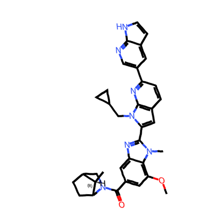 COc1cc(C(=O)N2CC3CCC2[C@@H]3C)cc2nc(-c3cc4ccc(-c5cnc6[nH]ccc6c5)nc4n3CC3CC3)n(C)c12